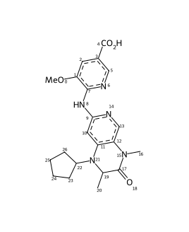 COc1cc(C(=O)O)cnc1Nc1cc2c(cn1)N(C)C(=O)C(C)N2C1CCCC1